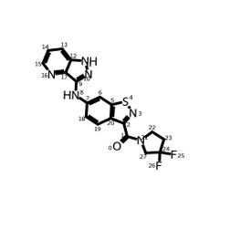 O=C(c1nsc2cc(Nc3n[nH]c4cccnc34)ccc12)N1CCC(F)(F)C1